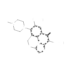 CN1CCN(c2c(F)cc3c(=O)c(C(=O)O)c4scc5n4c3c2CO5)CC1.Cl